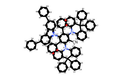 N#Cc1c(N2c3ccccc3C(c3ccccc3)(c3ccccc3)c3ccccc32)c(-c2ccccc2)c(-n2c3ccc(-c4ccccc4)cc3c3cc(-c4ccccc4)ccc32)c(-c2ccccc2)c1N1c2ccccc2C(c2ccccc2)(c2ccccc2)c2ccccc21